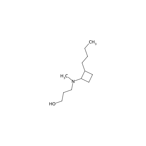 CCCCC1CCC1N(C)CCCO